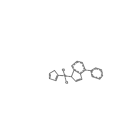 [Cl][Ti]([Cl])([C]1=CC=CC1)[CH]1C=Cc2c(-c3ccccc3)cccc21